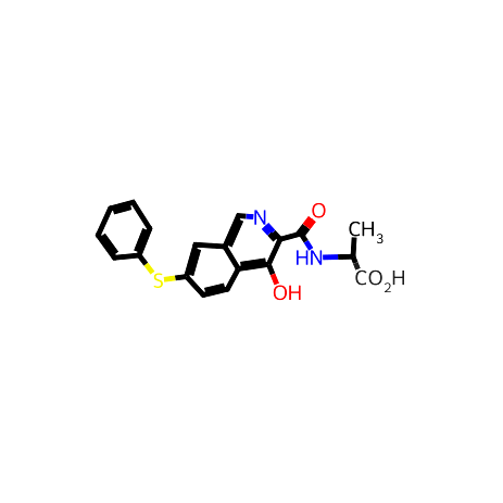 CC(NC(=O)c1ncc2cc(Sc3ccccc3)ccc2c1O)C(=O)O